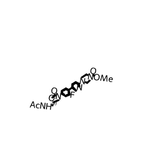 COC(=O)N1CCN(c2ccc(-c3ccc(N4C[C@H](CNC(C)=O)OC4=O)cc3F)cn2)CC1